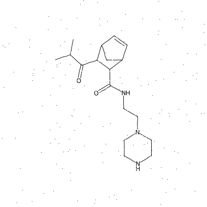 CC(C)C(=O)C1C2C=CC(C2)C1C(=O)NCCN1CCNCC1